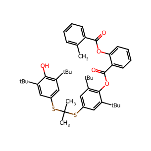 Cc1ccccc1C(=O)Oc1ccccc1C(=O)Oc1c(C(C)(C)C)cc(SC(C)(C)Sc2cc(C(C)(C)C)c(O)c(C(C)(C)C)c2)cc1C(C)(C)C